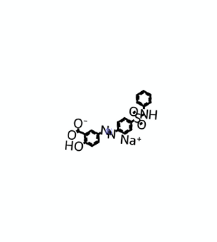 O=C([O-])c1cc(/N=N/c2ccc(S(=O)(=O)Nc3ccccc3)cc2)ccc1O.[Na+]